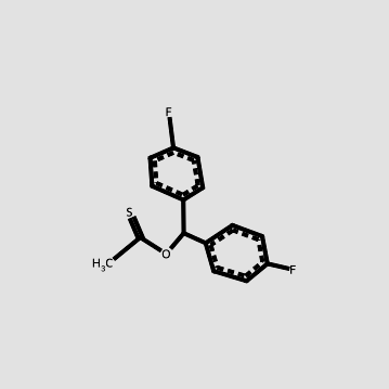 CC(=S)OC(c1ccc(F)cc1)c1ccc(F)cc1